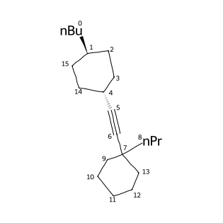 CCCC[C@H]1CC[C@H](C#CC2(CCC)CCCCC2)CC1